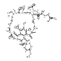 CO[C@H]1/C=C/O[C@@]2(C)Oc3c(C)c(O)c4c(c3C2=O)C2=NC3(CCN(CC(C)C)CC3)NC2=C(NC(=O)/C(C)=C\C=C\[C@H](C)[C@H](O)[C@@H](C)[C@@H](O)[C@@H](C)[C@H](OC(=O)CCC(=O)NCCN(C)C)[C@@H]1C)C4=O